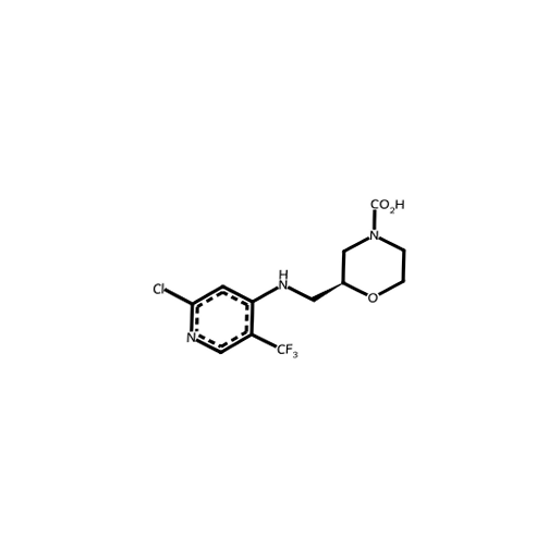 O=C(O)N1CCO[C@@H](CNc2cc(Cl)ncc2C(F)(F)F)C1